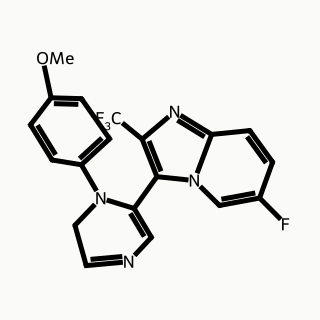 COc1ccc(N2CC=NC=C2c2c(C(F)(F)F)nc3ccc(F)cn23)cc1